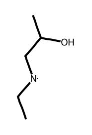 CC[N]CC(C)O